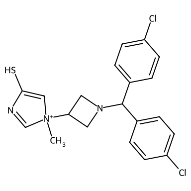 C[N+]1(C2CN(C(c3ccc(Cl)cc3)c3ccc(Cl)cc3)C2)C=NC(S)=C1